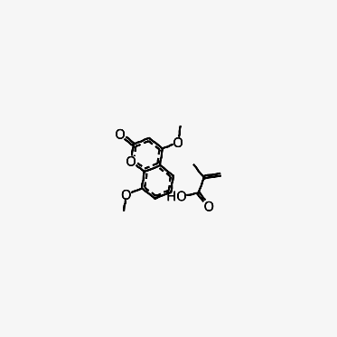 C=C(C)C(=O)O.COc1cc(=O)oc2c(OC)cccc12